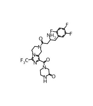 NC(CC(=O)N1CCn2c(C(F)(F)F)nc(C(=O)N3CCNC(=O)C3)c2C1)Cc1cc(F)c(F)cc1F